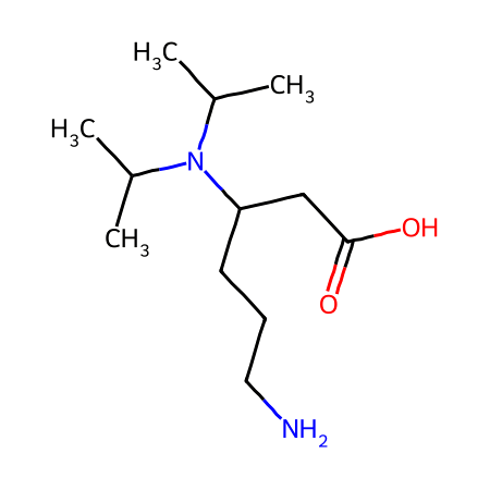 CC(C)N(C(C)C)C(CCCN)CC(=O)O